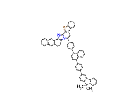 CC1(C)c2ccccc2-c2cc(-c3ccc(-c4ccc(-c5ccc(-c6cc7c8ccccc8sc7c7nc8c9cc%10ccccc%10cc9ccc8n67)cc5)c5ccccc45)cc3)ccc21